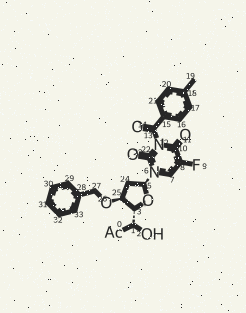 CC(=O)C(O)[C@H]1O[C@@H](n2cc(F)c(=O)n(C(=O)c3ccc(C)cc3)c2=O)C[C@@H]1OCc1ccccc1